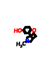 CN1CC2CC(=O)C2(c2cccc(O)c2)C1